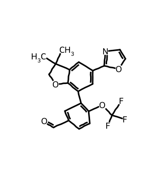 CC1(C)COc2c(-c3cc(C=O)ccc3OC(F)(F)F)cc(-c3ncco3)cc21